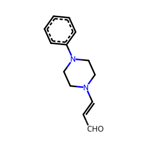 O=CC=CN1CCN(c2ccccc2)CC1